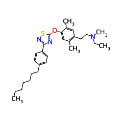 CCCCCCCc1ccc(-c2nsc(Oc3cc(C)c(CCN(C)CC)cc3C)n2)cc1